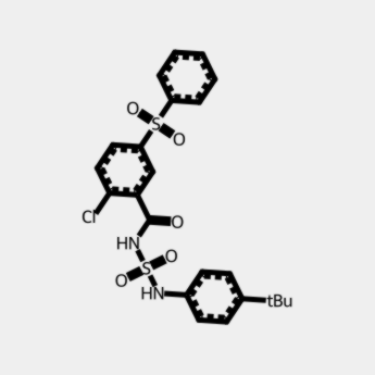 CC(C)(C)c1ccc(NS(=O)(=O)NC(=O)c2cc(S(=O)(=O)c3ccccc3)ccc2Cl)cc1